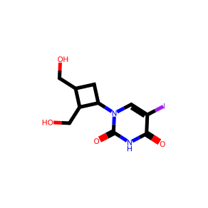 O=c1[nH]c(=O)n(C2CC(CO)C2CO)cc1I